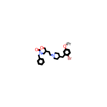 CC(C)Oc1ccc(Br)c(CC2CCN(CCC3COC(=O)N(Cc4ccccc4)C3)CC2)c1